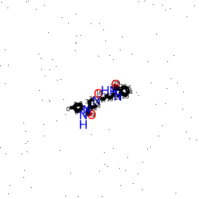 Cc1ccc2c(c1)[nH]c(=O)n2C1CCN(C(=O)CCCc2nc3ccccc3c(=O)[nH]2)CC1